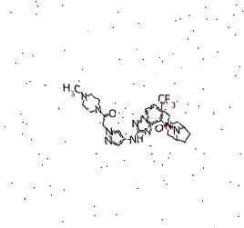 CN1CCN(C(=O)Cn2cc(Nc3nc4c(N5CC6CCC(C5)N6C(=O)CCC(F)(F)F)cccn4n3)cn2)CC1